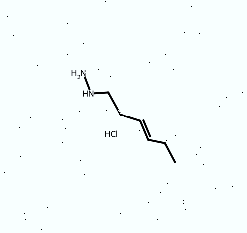 CC/C=C/CCNN.Cl